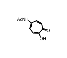 CC(=O)Nc1ccc(O)c(=O)cc1